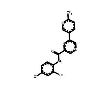 Cc1cc(Cl)ccc1NC(=O)c1cncc(-c2ccc(C(F)(F)F)nc2)n1